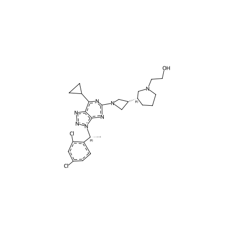 C[C@H](c1ccc(Cl)cc1Cl)n1nnc2c(C3CC3)nc(N3CC([C@H]4CCCN(CCO)C4)C3)nc21